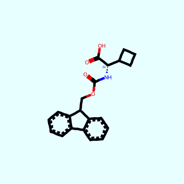 O=C(N[C@H](C(=O)O)C1CCC1)OCC1c2ccccc2-c2ccccc21